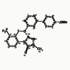 COc1ccc(-c2ncnc(OCc3c(C)cccc3-n3nnn(C)c3=O)n2)cc1